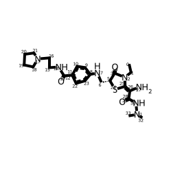 CCN1C(=O)[C@@H](CNc2ccc(C(=O)NCCN3CCCC3)cc2)S/C1=C(/N)C(=O)NN(C)C